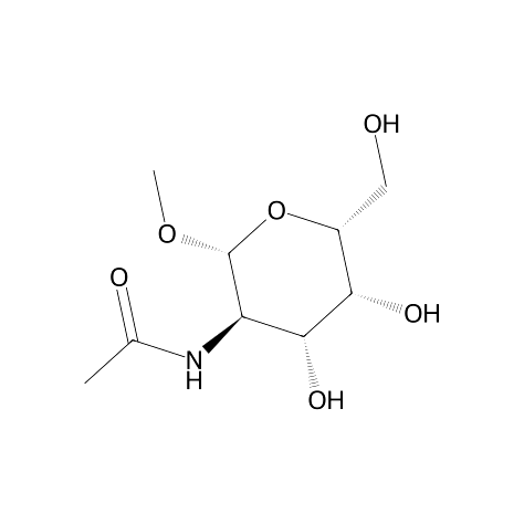 CO[C@@H]1O[C@H](CO)[C@H](O)[C@H](O)[C@H]1NC(C)=O